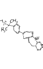 CC(C)(C)c1ccc(-c2ccc3c(c2)CCc2ccccc2N3)cc1